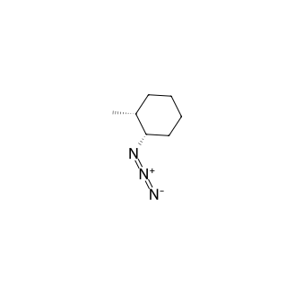 C[C@@H]1CCCC[C@@H]1N=[N+]=[N-]